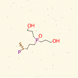 O=P(CCCO)(CCCO)CCCS(#P)=S